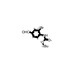 CC(C)(C)OC(=O)Nc1ccc(C=O)cc1Br